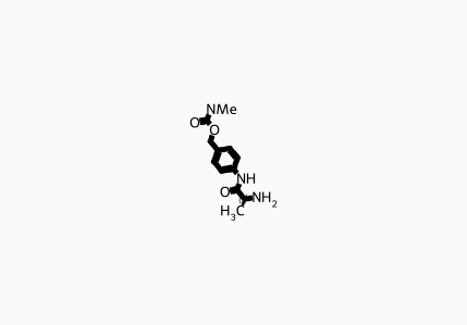 CNC(=O)OCc1ccc(NC(=O)[C@H](C)N)cc1